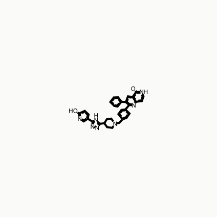 O=c1[nH]ccc2nc(-c3ccc(CN4CCC(c5nnc(-c6ccc(O)nc6)[nH]5)CC4)cc3)c(-c3ccccc3)cc12